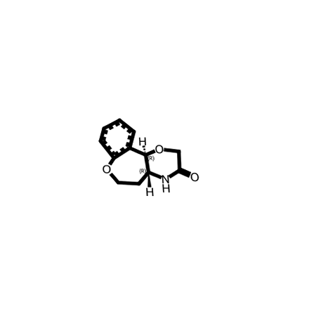 O=C1CO[C@@H]2c3ccccc3OCC[C@H]2N1